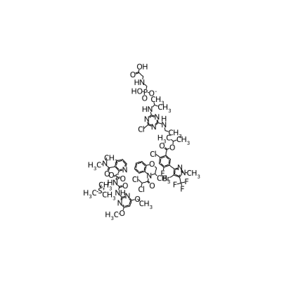 CC(C)OC(=O)c1cc(-c2nn(C)c(C(F)(F)F)c2Br)c(F)cc1Cl.CC1COc2ccccc2N1C(=O)C(Cl)Cl.CCNc1nc(Cl)nc(NC(C)C)n1.COc1cc(OC)nc(NC(=O)NS(=O)(=O)c2ncccc2C(=O)N(C)C)n1.C[S+](C)C.O=C(O)CNCP(=O)([O-])O